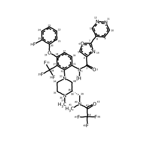 [2H]N(C(=O)c1coc(-c2ccnnc2)n1)c1ccc(Oc2ccccc2F)c(C(F)(F)F)c1N1CCN(C)[C@@H](CN(C)C(=O)C(F)(F)F)C1